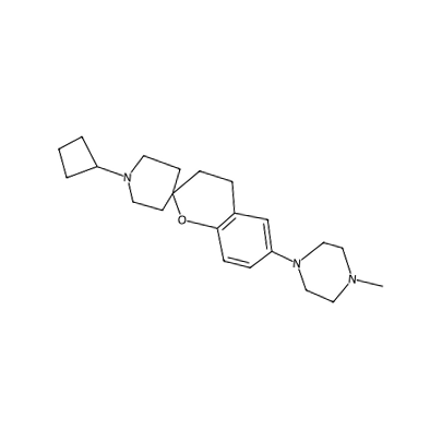 CN1CCN(c2ccc3c(c2)CCC2(CCN(C4CCC4)CC2)O3)CC1